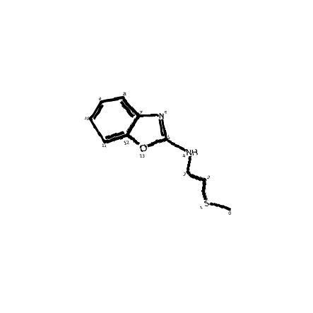 CSCCNc1nc2ccccc2o1